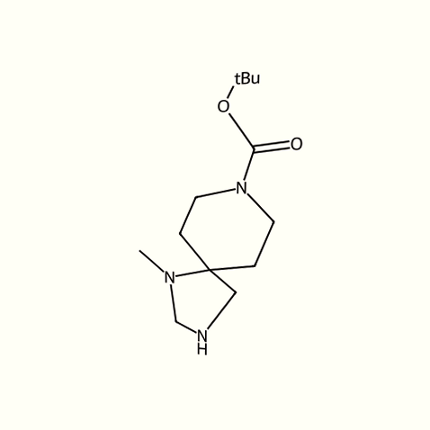 CN1CNCC12CCN(C(=O)OC(C)(C)C)CC2